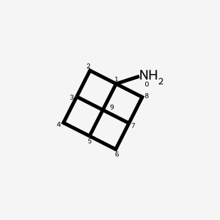 NC12CC3CC4CC(C1)C432